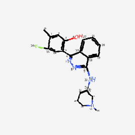 Cc1cc(O)c(-c2nnc(N[C@@H]3CCCN(C)C3)c3ccccc23)cc1F